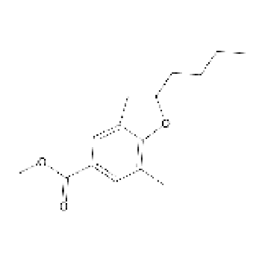 CCCCC1Cc2cc(C(=O)OC)cc(C)c2O1